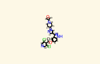 CC(Oc1ccc2[nH]nc(-c3cnn(C4CCN(C5COC5)CC4)c3)c2c1)c1c(Cl)cncc1Cl